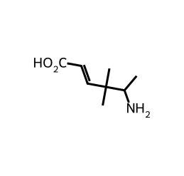 CC(N)C(C)(C)/C=C/C(=O)O